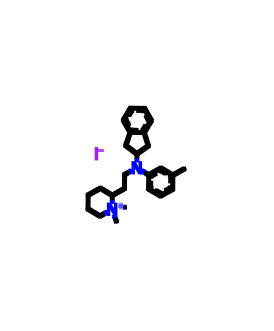 Cc1cccc(N(CCC2CCCC[N+]2(C)C)C2Cc3ccccc3C2)c1.[I-]